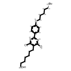 CCCCCCCCCCCCCCCCc1c(Cl)nc(-c2ccc(OCCCCC[C@@H](C)CC)cc2)nc1Cl